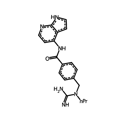 CCCN(Cc1ccc(C(=O)Nc2ccnc3[nH]ccc23)cc1)C(=N)N